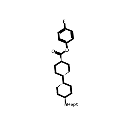 CCCCCCC[C@H]1CC[C@H]([C@H]2CC[C@H](C(=O)Oc3ccc(F)cc3)CC2)CC1